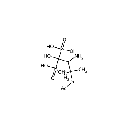 CC(=O)SC(C)(C)C(N)C(O)(P(=O)(O)O)P(=O)(O)O